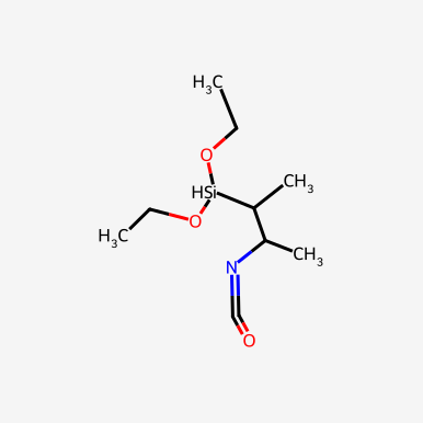 CCO[SiH](OCC)C(C)C(C)N=C=O